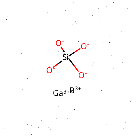 [B+3].[Ga+3].[O-][Si]([O-])([O-])[O-]